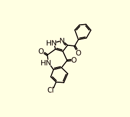 O=C(c1ccccc1)c1n[nH]c2c(=O)[nH]c3cc(Cl)ccc3c(=O)c12